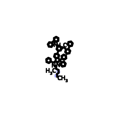 C/C=C\C=C/C(C)c1nc(-c2ccccc2)c2c(n1)C(c1ccccc1)(c1ccccc1)c1cc(-c3cc(Cc4ccccc4-c4ccccc4C)cc(-n4c5ccccc5c5ccccc54)c3)ccc1-2